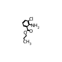 CCCOC(=O)c1cccc(Cl)c1N